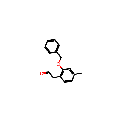 Cc1ccc(CC=O)c(OCc2ccccc2)c1